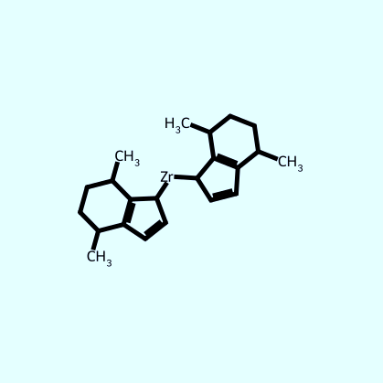 CC1CCC(C)C2=C1C=C[CH]2[Zr][CH]1C=CC2=C1C(C)CCC2C